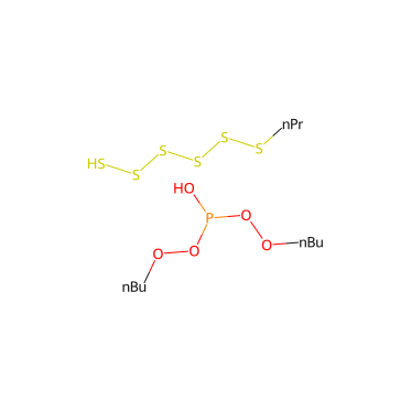 CCCCOOP(O)OOCCCC.CCCSSSSSS